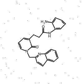 Nc1ccccc1NC(=O)CCc1cccn(Cc2ccc3ccccc3n2)c1=O